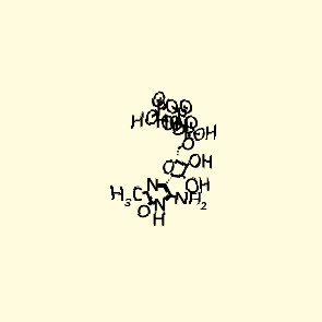 Cc1nc([C@@H]2O[C@H](COP(=O)(O)OP(=O)(O)OP(=O)(O)O)[C@@H](O)[C@H]2O)c(N)[nH]c1=O